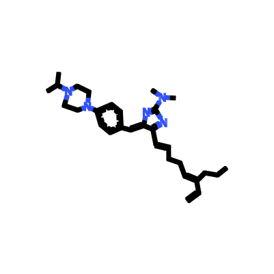 C=C/C(=C/CC/C=C/C1=NC(N(C)C)=N/C1=C\c1ccc(N2CCN(C(C)C)CC2)cc1)CCC